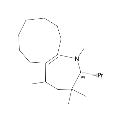 CC1CC(C)(C)[C@@H](C(C)C)N(C)C2=C1CCCCCCC2